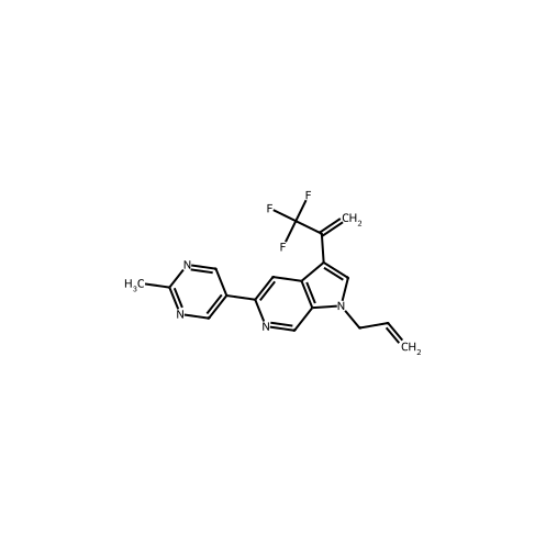 C=CCn1cc(C(=C)C(F)(F)F)c2cc(-c3cnc(C)nc3)ncc21